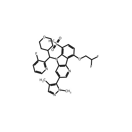 Cc1cnn(C)c1-c1cnc2c3c(OCC(F)F)ccc(S(C)(=O)=O)c3n(C(c3ncccc3F)C3CCOCC3)c2c1